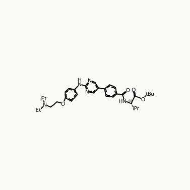 CCN(CC)CCOc1ccc(Nc2ncc(-c3ccc(C(=O)N[C@H](C(=O)OC(C)(C)C)C(C)C)cc3)cn2)cc1